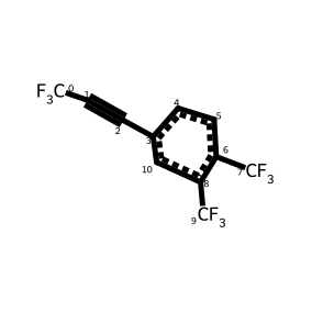 FC(F)(F)C#Cc1ccc(C(F)(F)F)c(C(F)(F)F)c1